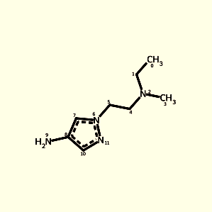 CCN(C)CCn1cc(N)cn1